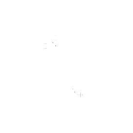 CCN(CC)CCCCCCCCO[C]=O